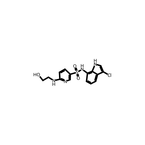 O=S(=O)(Nc1cccc2c(Cl)c[nH]c12)c1ccc(NCCO)nc1